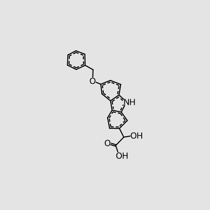 O=C(O)C(O)c1ccc2c(c1)[nH]c1ccc(OCc3ccccc3)cc12